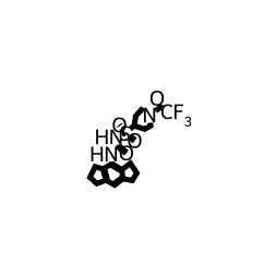 O=C(Nc1c2c(cc3c1CCC3)CCC2)NS(=O)(=O)C1CCN(C(=O)C(F)(F)F)CC1